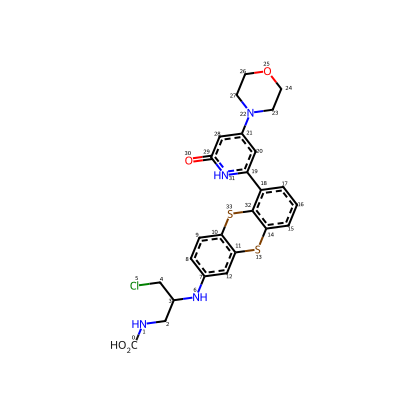 O=C(O)NCC(CCl)Nc1ccc2c(c1)Sc1cccc(-c3cc(N4CCOCC4)cc(=O)[nH]3)c1S2